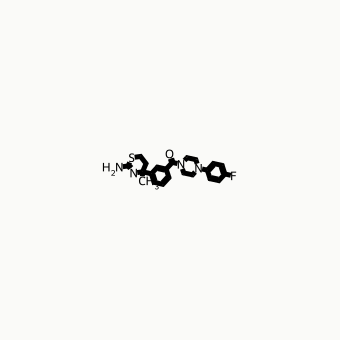 CC1(c2cccc(C(=O)N3CCN(c4ccc(F)cc4)CC3)c2)CCSC(N)=N1